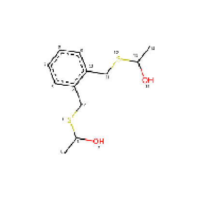 CC(O)SCc1ccccc1CSC(C)O